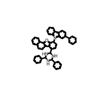 c1ccc(-c2ccc3c4ccccc4n(-c4ccc(C5NC(c6ccccc6)NC(c6ccccc6)N5)c5c4oc4c6ccccc6ccc45)c3c2)cc1